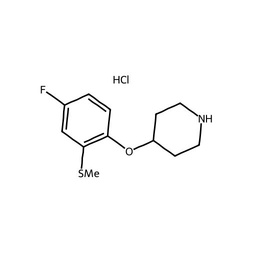 CSc1cc(F)ccc1OC1CCNCC1.Cl